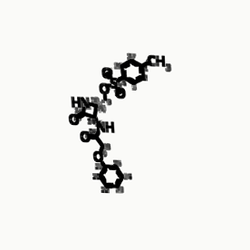 Cc1ccc(S(=O)(=O)OC[C@H]2NC(=O)[C@H]2NC(=O)COc2ccccc2)cc1